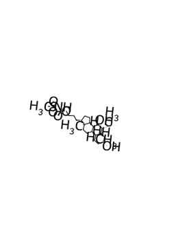 CC[C@H]1[C@@H](O)[C@@H]2[C@H](CC[C@]3(C)[C@@H](CCCOC(=O)NS(C)(=O)=O)CC[C@@H]23)[C@@]2(C)CC[C@@H](O)C[C@@H]12